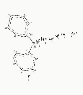 F.F.F.F.F.[As].[F-].c1ccc([I+]c2ccccc2)cc1